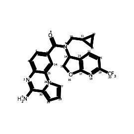 Nc1nc2ccc(C(=O)N(CC3CC3)C3COc4nc(C(F)(F)F)ccc43)cc2n2cccc12